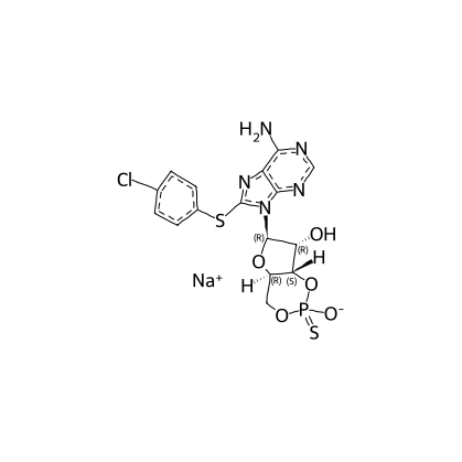 Nc1ncnc2c1nc(Sc1ccc(Cl)cc1)n2[C@@H]1O[C@@H]2COP([O-])(=S)O[C@H]2[C@H]1O.[Na+]